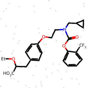 CCOC(Cc1ccc(OCCN(CC2CC2)C(=O)Oc2ccccc2C(F)(F)F)cc1)C(=O)O